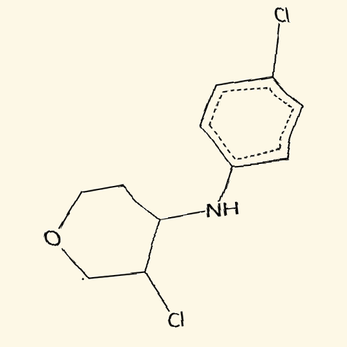 Clc1ccc(NC2CCO[CH]C2Cl)cc1